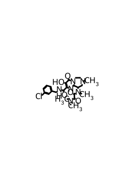 CN1CCn2c(nc(C(=O)NCc3cccc(Cl)c3)c(O)c2=O)C(N(C)C(=O)C(=O)N(C)C)C1